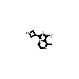 Cc1nccn2c(C3CNC3)nc(Br)c12